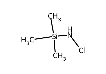 C[Si](C)(C)NCl